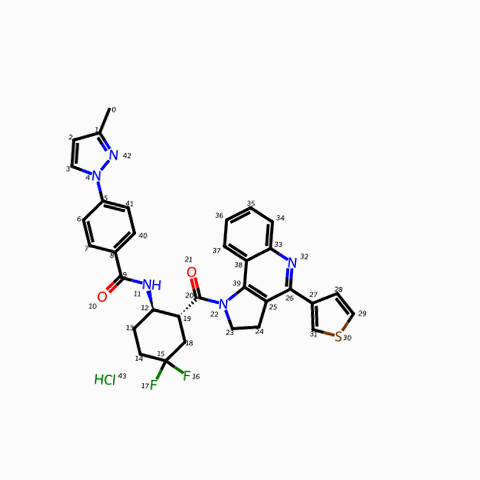 Cc1ccn(-c2ccc(C(=O)N[C@@H]3CCC(F)(F)C[C@H]3C(=O)N3CCc4c(-c5ccsc5)nc5ccccc5c43)cc2)n1.Cl